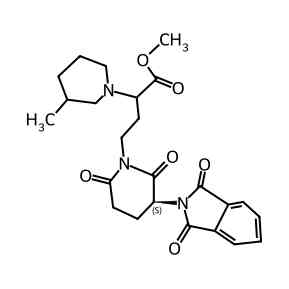 COC(=O)C(CCN1C(=O)CC[C@H](N2C(=O)c3ccccc3C2=O)C1=O)N1CCCC(C)C1